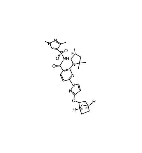 Cc1nn(C)cc1S(=O)(=O)NC(=O)c1ccc(-n2ccc(OC3C[C@@H]4CC[C@H]3C4)n2)nc1N1C[C@@H](C)CC1(C)C